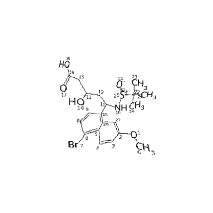 COc1ccc2c(Br)ccc(C(CC(O)CC(=O)O)N[S@+]([O-])C(C)(C)C)c2c1